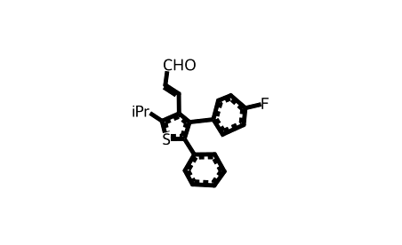 CC(C)c1sc(-c2ccccc2)c(-c2ccc(F)cc2)c1C=CC=O